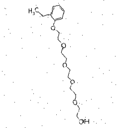 CCc1ccccc1OCCOCCOCCOCCOCCO